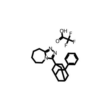 O=C(O)C(F)(F)F.c1ccc(C23CC4CC(C2)CC(c2nnc5n2CCCCC5)(C4)C3)cc1